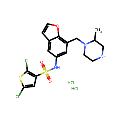 CC1CNCCN1Cc1cc(NS(=O)(=O)c2cc(Cl)sc2Cl)cc2ccoc12.Cl.Cl